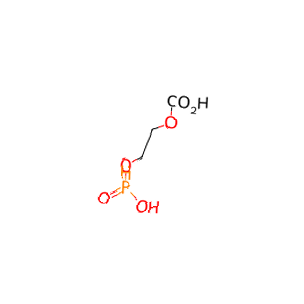 O=C(O)OCCO[PH](=O)O